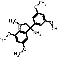 CNCC(N)(c1cc(OC)cc(OC)c1)c1cc(OC)cc(OC)c1